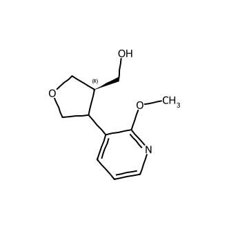 COc1ncccc1C1COC[C@H]1CO